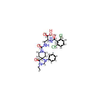 CCN1CN(c2ccccc2)C2(CCN(C(=O)NCC(NC(=O)c3c(Cl)cccc3Cl)C(=O)O)CC2)C1=O